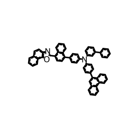 c1ccc(-c2cccc(N(c3ccc(-c4ccc(-c5nc6ccc7ccccc7c6o5)c5ccccc45)cc3)c3ccc(-c4cc5ccccc5c5ccccc45)cc3)c2)cc1